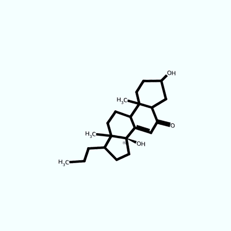 CCCC1CC[C@@]2(O)C3=CC(=O)C4CC(O)CCC4(C)C3CCC12C